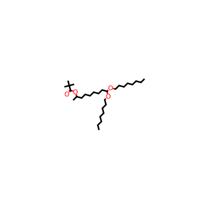 CCCCCCCCOC(CCCCCCC(C)OC(=O)C(C)(C)C)OCCCCCCCC